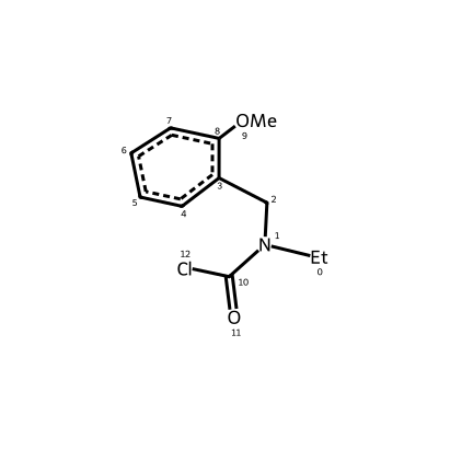 CCN(Cc1ccccc1OC)C(=O)Cl